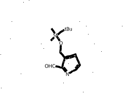 CC(C)(C)[Si](C)(C)OCc1cccnc1C=O